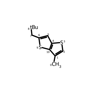 Cc1csc2cc(CC(C)(C)C)sc12